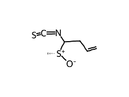 C=CCC(N=C=S)[S@@+](C)[O-]